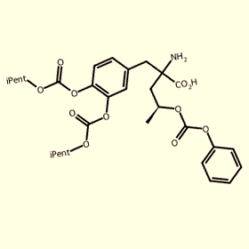 CCCC(C)OC(=O)Oc1ccc(CC(N)(C[C@H](C)OC(=O)Oc2ccccc2)C(=O)O)cc1OC(=O)OC(C)CCC